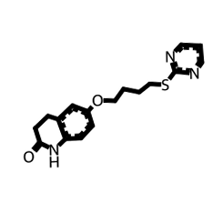 O=C1CCc2cc(OCCCCSc3ncccn3)ccc2N1